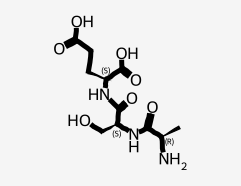 C[C@@H](N)C(=O)N[C@@H](CO)C(=O)N[C@@H](CCC(=O)O)C(=O)O